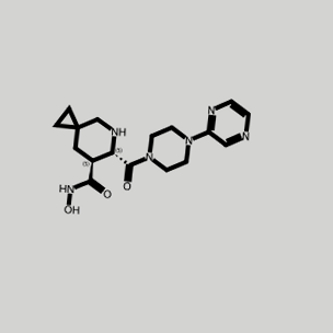 O=C(NO)[C@H]1CC2(CC2)CN[C@@H]1C(=O)N1CCN(c2cnccn2)CC1